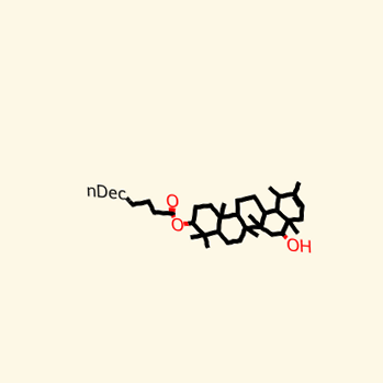 CCCCCCCCCCCCCC(=O)OC1CCC2(C)C(CCC3(C)C2CCC2C4C(C)C(C)=CCC4(C)C(O)CC23C)C1(C)C